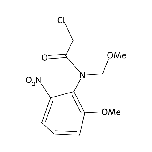 COCN(C(=O)CCl)c1c(OC)cccc1[N+](=O)[O-]